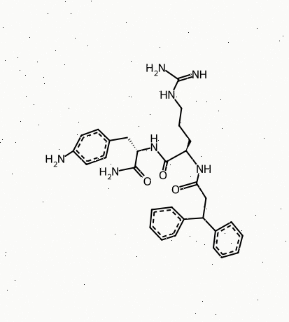 N=C(N)NCCC[C@@H](NC(=O)CC(c1ccccc1)c1ccccc1)C(=O)N[C@@H](Cc1ccc(N)cc1)C(N)=O